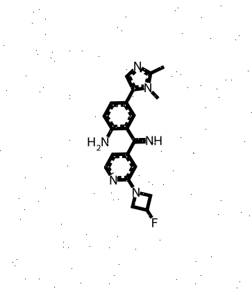 Cc1ncc(-c2ccc(N)c(C(=N)c3ccnc(N4CC(F)C4)c3)c2)n1C